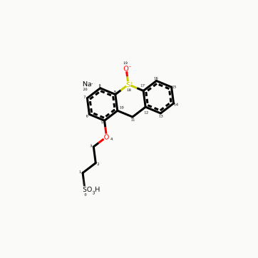 O=S(=O)(O)CCCOc1cccc2c1Cc1ccccc1[S+]2[O-].[Na]